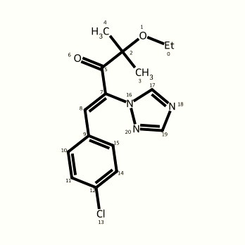 CCOC(C)(C)C(=O)C(=Cc1ccc(Cl)cc1)n1cncn1